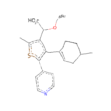 Cc1sc(-c2ccncc2)c(C2=CCC(C)CC2)c1C(OC(C)(C)C)C(=O)O